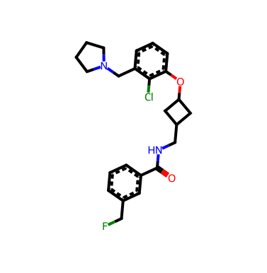 O=C(NCC1CC(Oc2cccc(CN3CCCC3)c2Cl)C1)c1cccc(CF)c1